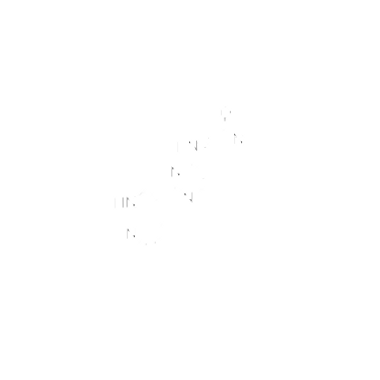 CCNC(=O)[C@@](C)(CC)Nc1ccnc(-c2c[nH]c3ncccc23)n1